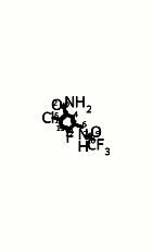 NC(=O)c1cc(CNC(=O)C(F)(F)F)c(F)cc1Cl